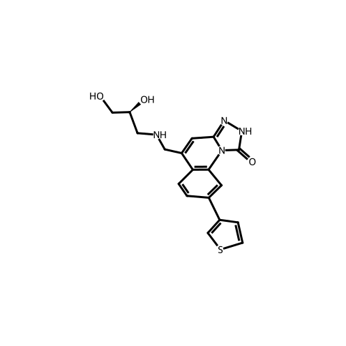 O=c1[nH]nc2cc(CNC[C@H](O)CO)c3ccc(-c4ccsc4)cc3n12